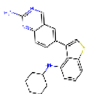 Nc1ncc2cc(-c3csc4cccc(NC5CCCCC5)c34)ccc2n1